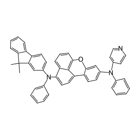 CC1(C)c2ccccc2-c2ccc(N(c3ccccc3)c3ccc4c5c(cccc35)Oc3cc(N(c5ccccc5)c5ccncc5)ccc3-4)cc21